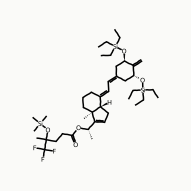 C=C1[C@H](O[Si](CC)(CC)CC)CC(=C/C=C2\CCC[C@]3(C)C([C@H](C)OC(=O)CCC(C)(O[Si](C)(C)C)C(F)(F)F)=CC[C@@H]23)C[C@H]1O[Si](CC)(CC)CC